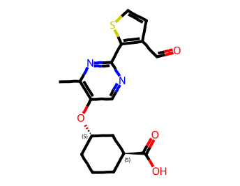 Cc1nc(-c2sccc2C=O)ncc1O[C@H]1CCC[C@H](C(=O)O)C1